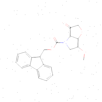 COC1CN(C(=O)OCC2c3ccccc3-c3ccccc32)C2C(=O)COC12